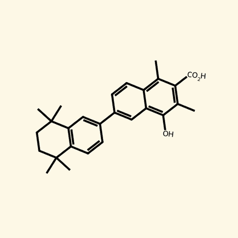 Cc1c(C(=O)O)c(C)c2ccc(-c3ccc4c(c3)C(C)(C)CCC4(C)C)cc2c1O